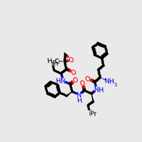 CC(C)CC[C@H](NC(=O)[C@@H](N)CCc1ccccc1)C(=O)N[C@@H](Cc1ccccc1)C(=O)NC(CC(C)C)C(=O)[C@@]1(C)CO1